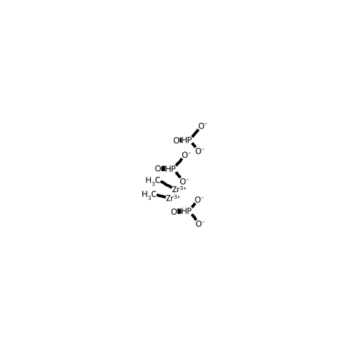 O=[PH]([O-])[O-].O=[PH]([O-])[O-].O=[PH]([O-])[O-].[CH3][Zr+3].[CH3][Zr+3]